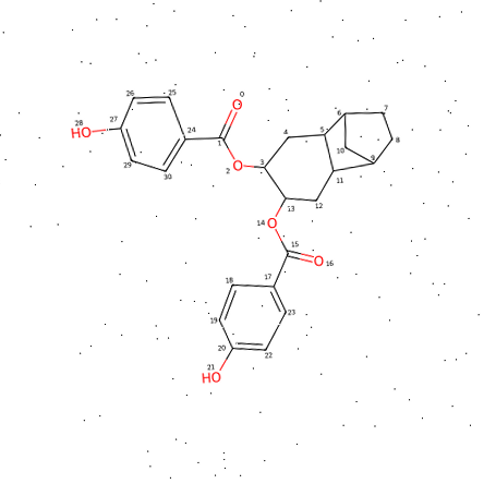 O=C(OC1CC2C3CCC(C3)C2CC1OC(=O)c1ccc(O)cc1)c1ccc(O)cc1